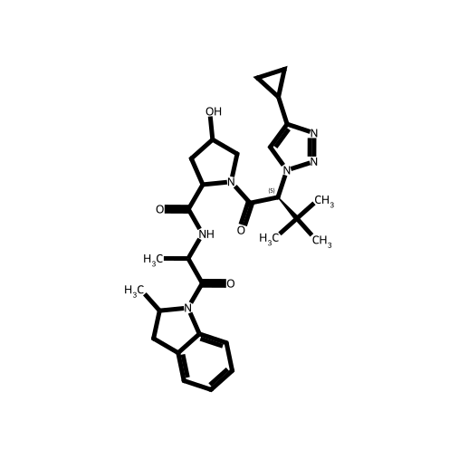 CC(NC(=O)C1CC(O)CN1C(=O)[C@@H](n1cc(C2CC2)nn1)C(C)(C)C)C(=O)N1c2ccccc2CC1C